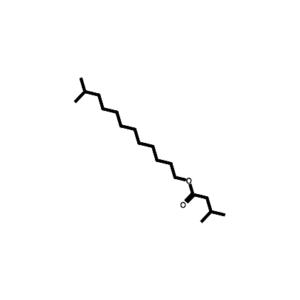 CC(C)CCCCCCCCCCOC(=O)CC(C)C